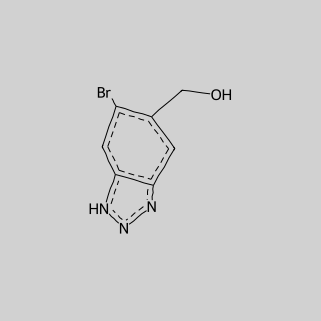 OCc1cc2nn[nH]c2cc1Br